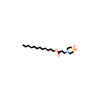 CCCCCCCCCCCCOC(=O)CCN1CCS(=O)(=O)CC1